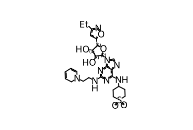 CCc1cc([C@H]2O[C@@H](n3cnc4c(NC5CCS(=O)(=O)CC5)nc(NCCN5C=CC=CC5)nc43)[C@H](O)[C@@H]2O)on1